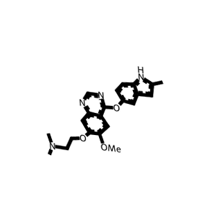 COc1cc2c(Oc3ccc4[nH]c(C)cc4c3)ncnc2cc1OCCN(C)C